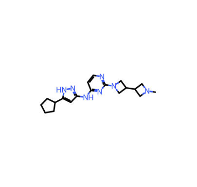 CN1CC(C2CN(c3nccc(Nc4cc(C5CCCC5)[nH]n4)n3)C2)C1